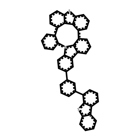 c1cc(-c2ccc3c(c2)c2cccc4c5cccc6sc7cccc(c8ccccc8n3c42)c7c65)cc(-c2cccc3c2sc2ccccc23)c1